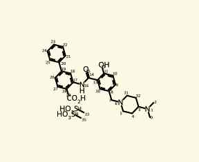 CN(C)C1CCN(Cc2ccc(O)c(C(=O)Nc3cc(-c4ccccc4)ccc3C(=O)O)c2)CC1.CS(=O)(=O)O.CS(=O)(=O)O